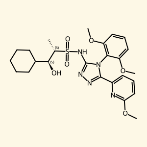 COc1cccc(-c2nnc(NS(=O)(=O)[C@@H](C)[C@@H](O)C3CCCCC3)n2-c2c(OC)cccc2OC)n1